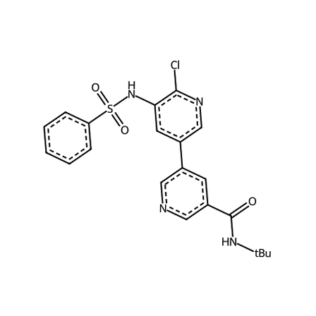 CC(C)(C)NC(=O)c1cncc(-c2cnc(Cl)c(NS(=O)(=O)c3ccccc3)c2)c1